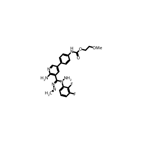 C=N/N=C(/c1cc(-c2ccc(NC(=O)OCCOC)cc2)cnc1N)N(N)c1cccc(F)c1F